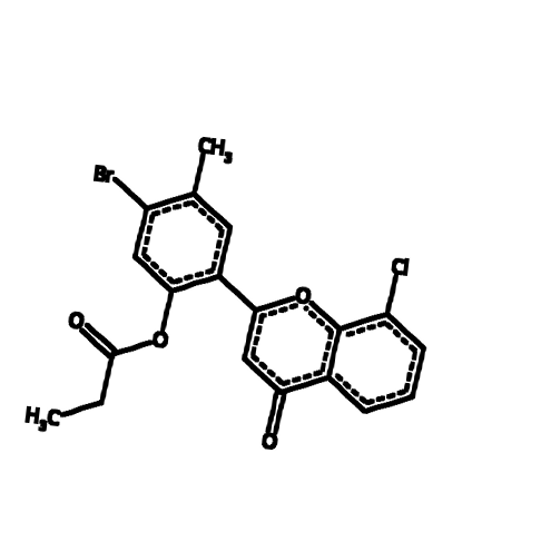 CCC(=O)Oc1cc(Br)c(C)cc1-c1cc(=O)c2cccc(Cl)c2o1